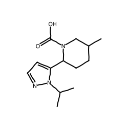 CC1CCC(c2ccnn2C(C)C)N(C(=O)O)C1